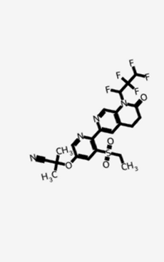 CCS(=O)(=O)c1cc(OC(C)(C)C#N)cnc1-c1cc2c(cn1)N(C(F)C(F)(F)C(F)F)C(=O)CC2